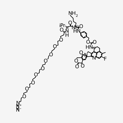 Cc1c(F)cc2nc3c(c4c2c1CC[C@@H]4NC(=O)OCc1ccc(NC(=O)[C@H](CCCCN)NC(=O)[C@@H](NC(=O)CCOCCOCCOCCOCCOCCOCCOCCOCCOCCN=[N+]=[N-])C(C)C)cc1)Cn1c-3cc2c(c1=O)COC(=O)C2=O